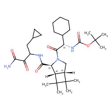 CC(C)(C)OC(=O)N[C@H](C(=O)N1C[C@H]2[C@@H]([C@H]1C(=O)NC(CC1CC1)C(=O)C(N)=O)C(C)(C)C2(C)C)C1CCCCC1